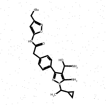 CC(C1CC1)n1nc(-c2ccc(CC(=O)Nc3cc(CC(C)(C)C)no3)cc2)c(C(N)O)c1N